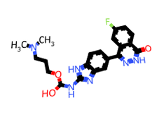 CN(C)CCCOC(O)Nc1nc2cc(-c3n[nH]c(=O)c4ccc(F)cc34)ccc2[nH]1